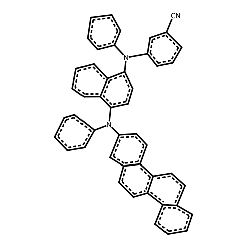 N#Cc1cccc(N(c2ccccc2)c2ccc(N(c3ccccc3)c3ccc4c(ccc5c6ccccc6ccc45)c3)c3ccccc23)c1